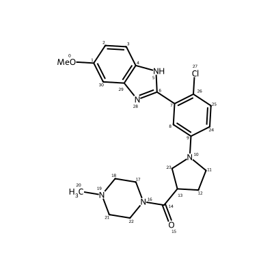 COc1ccc2[nH]c(-c3cc(N4CCC(C(=O)N5CCN(C)CC5)C4)ccc3Cl)nc2c1